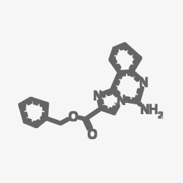 Nc1nc2ccccc2c2nc(C(=O)OCc3ccccc3)cn12